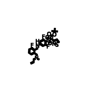 C=CCN(C)Cc1cccc(F)c1CNc1cc(F)c(S(=O)(=O)N(C(=O)OC(C)(C)C)c2ccsn2)c(F)c1